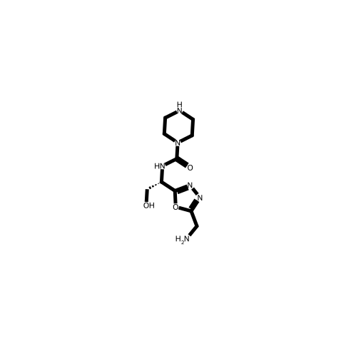 NCc1nnc([C@H](CO)NC(=O)N2CCNCC2)o1